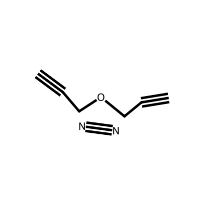 C#CCOCC#C.N#N